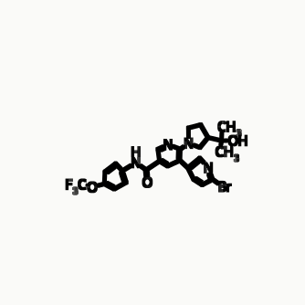 CC(C)(O)C1CCN(c2ncc(C(=O)Nc3ccc(OC(F)(F)F)cc3)cc2-c2ccc(Br)nc2)C1